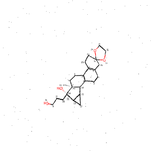 C[C@]12CCC3C4=C(CCC3C1C1CC1[C@@]2(O)CCCO)CC1(CC4)OCCO1